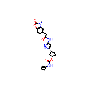 Cn1c(=O)oc2ccc(CC(=O)Nc3cc([C@@H]4CC[C@@H](OC(=O)NC56CC(C5)C6)C4)[nH]n3)cc21